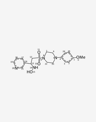 COc1ccc(N2CCN(S(=O)(=O)CC(NO)c3cccnc3)CC2)cc1